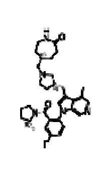 Cc1cncc2c1c(C[C@@H]1CCN(C[C@H]3CCNC(=O)CC3)C1)cn2-c1ccc(F)cc1C(=O)N1CCC[C@H]1C